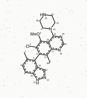 COc1c(Cl)c(-c2c(C)ccc3[nH]ncc23)c(F)c2ncnc(N3CCNCC3)c12